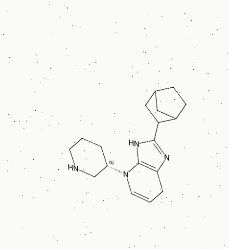 C1=CN([C@H]2CCCNC2)c2[nH]c(C3CC4CCC3C4)nc2C1